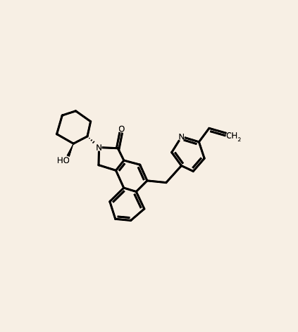 C=Cc1ccc(Cc2cc3c(c4ccccc24)CN([C@H]2CCCC[C@@H]2O)C3=O)cn1